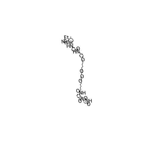 CCC1=C(c2ccncn2)N(C)C(CNc2cccc(C(=O)N[C@H](C)c3ccc(OCCCCCCOCCOCCOCCCCCC(=O)Nc4cccc5c4CN(C4CCC(=O)NC4=O)C5=O)cc3)c2)=CCC1C